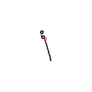 CCCCCCCCCCCCCCCCCCOc1ccc([I+]c2ccccc2)cc1